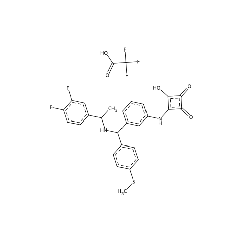 CSc1ccc(C(NC(C)c2ccc(F)c(F)c2)c2cccc(Nc3c(O)c(=O)c3=O)c2)cc1.O=C(O)C(F)(F)F